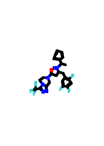 CC(NC(CC(=O)N1CCn2c(nnc2C(F)(F)F)C1)Cc1cc(F)c(F)cc1F)c1ccccc1